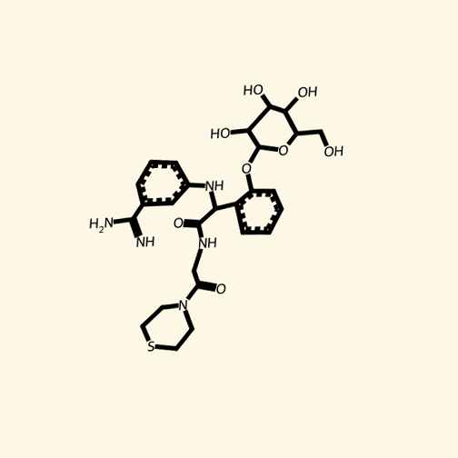 N=C(N)c1cccc(NC(C(=O)NCC(=O)N2CCSCC2)c2ccccc2OC2OC(CO)C(O)C(O)C2O)c1